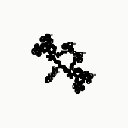 CC1(C)C(/C=C/C(Br)=C/C=C2\N(CCCS(=O)(=O)[O-])c3ccc4c(S(=O)(=O)[O-])cc(S(=O)(=O)[O-])cc4c3C2(C)C)=[N+](CCCS(=O)(=O)[O-])c2ccc3c(S(=O)(=O)[O-])cc(S(=O)(=O)[O-])cc3c21.[K+].[K+].[K+].[K+].[K+]